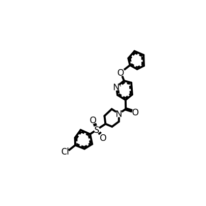 O=C(c1ccc(Oc2ccccc2)nc1)N1CCC(S(=O)(=O)c2ccc(Cl)cc2)CC1